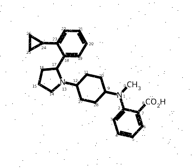 CN(c1ccccc1C(=O)O)C1CCC(N2CCCC2c2ccccc2C2CC2)CC1